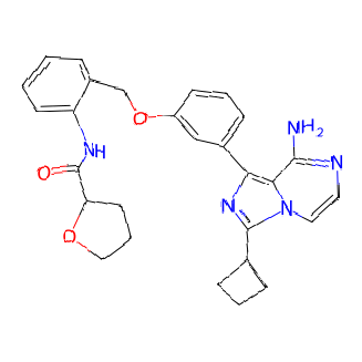 Nc1nccn2c(C3CCC3)nc(-c3cccc(OCc4ccccc4NC(=O)C4CCCO4)c3)c12